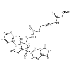 CNCC(=O)NC#CCCC(=O)NCCC(O)(Cc1ccccc1)N(CC(C)C)S(=O)(=O)c1ccc2c(c1)OCO2